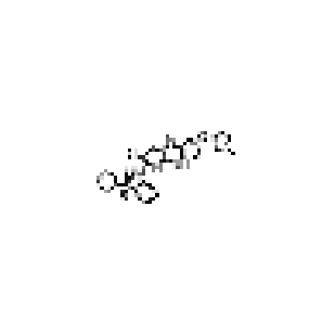 COc1cc(O[C@H]2CCN(C)C2)ccc1Nc1ncc(Cl)c(Nc2ccccc2S(=O)(=O)C2CCCCC2)n1